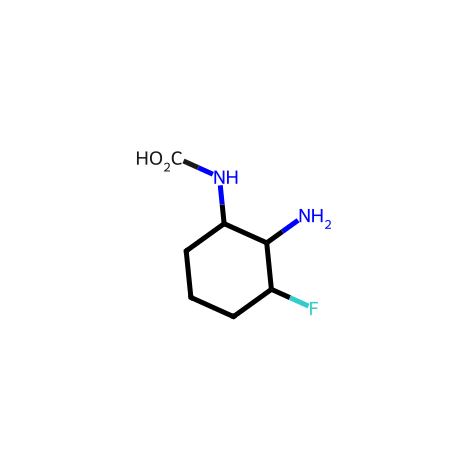 NC1C(F)CCCC1NC(=O)O